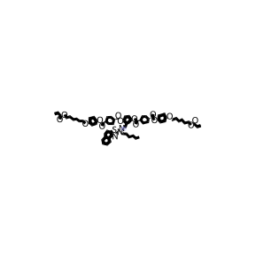 C=CC(=O)OCCCCCCOc1ccc(OC(=O)[C@H]2CC[C@H](C(=O)Oc3ccc(OC(=O)[C@H]4CC[C@H](C(=O)Oc5ccc(OCCCCCCOC(=O)C=C)cc5)CC4)c(/C=N/N(CCCCCC)c4nc5c(ccc6ccccc65)s4)c3)CC2)cc1